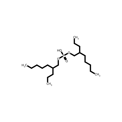 CCCCCC(CCC)COP(=O)(O)OCC(CCC)CCCCC